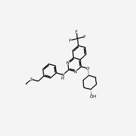 CSCc1cccc(Nc2nc(O[C@H]3CC[C@@H](O)CC3)c3ccc(C(F)(F)F)cc3n2)c1